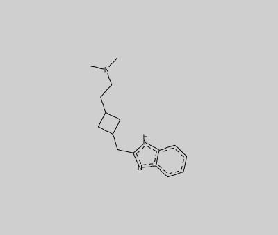 CN(C)CCC1CC(Cc2nc3ccccc3[nH]2)C1